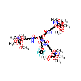 CC(=O)NC1C(OC(C)=O)[C@@H](OC(C)=O)C(COC(C)=O)O[C@H]1OCCCCCCNC(=O)CCOCC(CNC(=O)CCCC(=O)Oc1c(F)c(F)c(F)c(F)c1F)(COCCC(=O)NCCCCCCO[C@@H]1OC(COC(C)=O)[C@H](OC(C)=O)C(OC(C)=O)C1NC(C)=O)COCCC(=O)NCCCCCCO[C@@H]1OC(COC(C)=O)[C@H](OC(C)=O)C(OC(C)=O)C1NC(C)=O